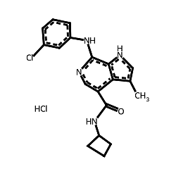 Cc1c[nH]c2c(Nc3cccc(Cl)c3)ncc(C(=O)NC3CCC3)c12.Cl